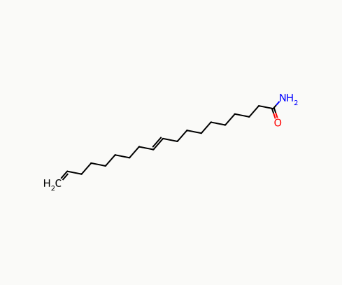 C=CCCCCCCC=CCCCCCCCCC(N)=O